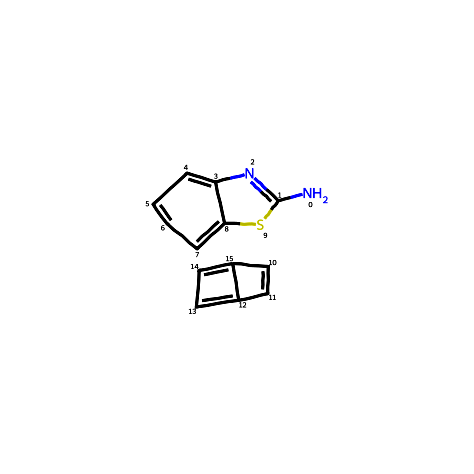 Nc1nc2ccccc2s1.c1cc2ccc1-2